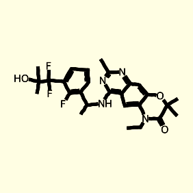 CCN1C(=O)C(C)(C)Oc2cc3nc(C)nc(NC(C)c4cccc(C(F)(F)C(C)(C)O)c4F)c3cc21